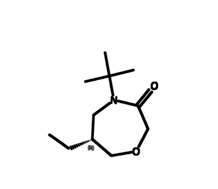 CC[C@H]1COCC(=O)N(C(C)(C)C)C1